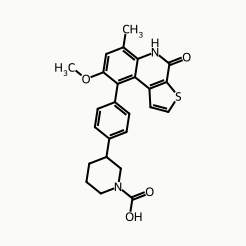 COc1cc(C)c2[nH]c(=O)c3sccc3c2c1-c1ccc(C2CCCN(C(=O)O)C2)cc1